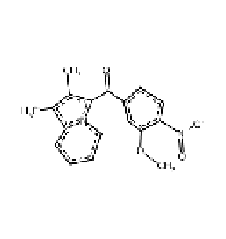 COc1cc(C(=O)c2c(C)c(C)c3ccccn23)ccc1[N+](=O)[O-]